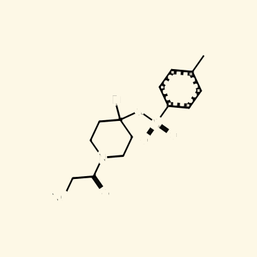 CCC1(SS(=O)(=O)c2ccc(C)cc2)CCN(C(=O)CC#N)CC1